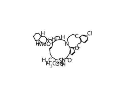 CO[C@]1(CN2CC[C@H]3CCCC[C@@H]3C2)/C=C/C[C@H](C)[C@@H](C)S(=O)(=O)NC(=O)c2ccc3c(c2)N(CCCCc2cc(Cl)ccc2CO3)C[C@@H]2CC[C@H]21